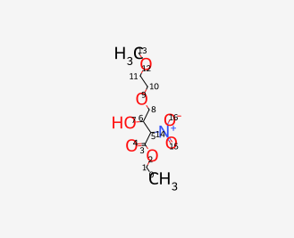 CCOC(=O)C(C(O)COCCOC)[N+](=O)[O-]